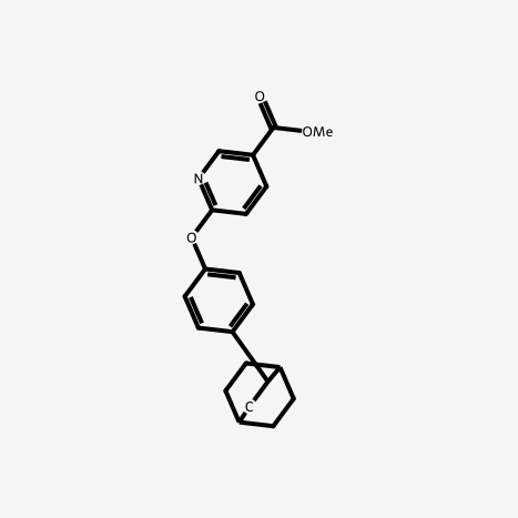 COC(=O)c1ccc(Oc2ccc(C3CC4CCC3CC4)cc2)nc1